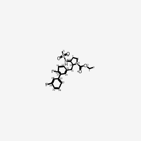 CCOC(=O)N1CCC(NS(C)(=O)=O)C1Cc1ccc(F)c(-c2cccc(F)c2)c1